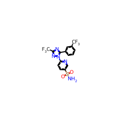 NS(=O)(=O)c1ccc(-n2nc(C(F)(F)F)nc2-c2cccc(C(F)(F)F)c2)nc1